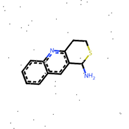 NC1SCCc2nc3ccccc3cc21